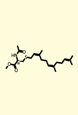 COC(=O)[C@H](CSCC=C(C)CCC=C(C)CCC=C(C)C)NC(C)=O